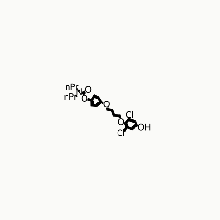 CCCN(CCC)C(=O)Oc1ccc(OCCCCOc2c(Cl)cc(O)cc2Cl)cc1